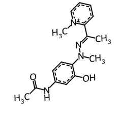 CC(=O)Nc1ccc(N(C)/N=C(\C)c2cccc[n+]2C)c(O)c1